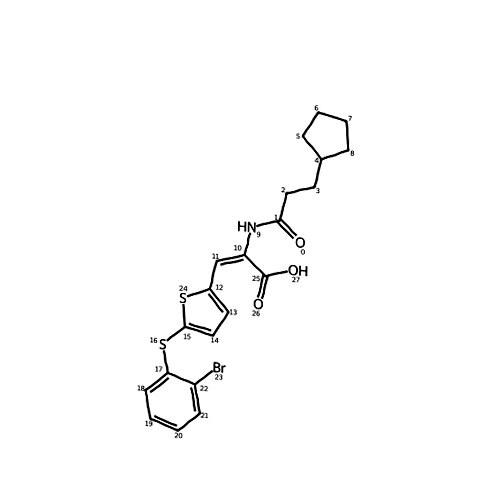 O=C(CCC1CCCC1)N/C(=C/c1ccc(Sc2ccccc2Br)s1)C(=O)O